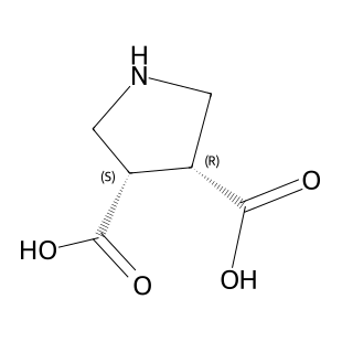 O=C(O)[C@H]1CNC[C@H]1C(=O)O